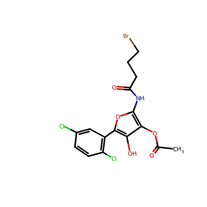 CC(=O)Oc1c(NC(=O)CCCBr)oc(-c2cc(Cl)ccc2Cl)c1O